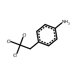 Nc1ccc(CC(Cl)(Cl)Cl)cc1